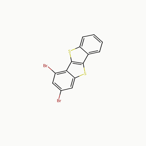 Brc1cc(Br)c2c(c1)sc1c3ccccc3sc12